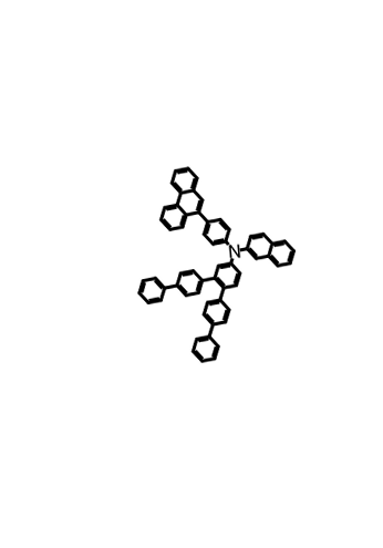 c1ccc(-c2ccc(-c3ccc(N(c4ccc(-c5cc6ccccc6c6ccccc56)cc4)c4ccc5ccccc5c4)cc3-c3ccc(-c4ccccc4)cc3)cc2)cc1